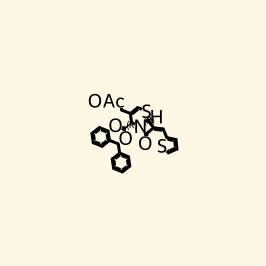 CC(=O)OCC1=CS[C@@H]2C(=Cc3cccs3)C(=O)N2[C@H]1C(=O)OC(c1ccccc1)c1ccccc1